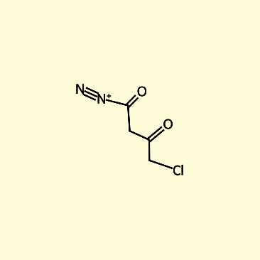 N#[N+]C(=O)CC(=O)CCl